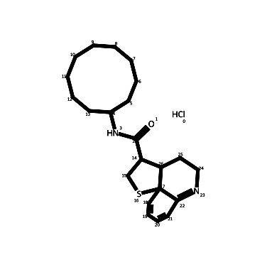 Cl.O=C(NC1CCCCCCCCC1)C1CSC23C=CC=CC2=NCCC13